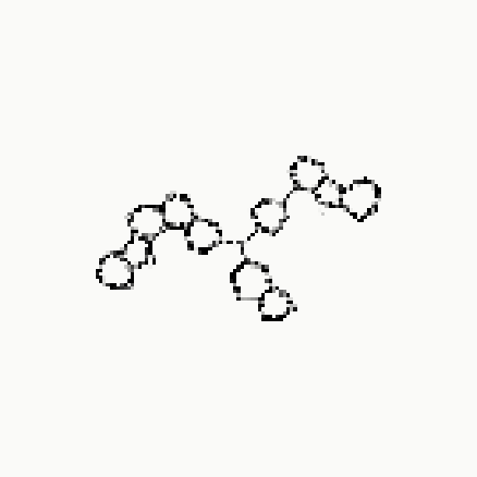 c1ccc2cc(N(c3ccc(-c4cccc5c4oc4ccccc45)cc3)c3ccc4c(ccc5ccc6c7ccccc7oc6c54)c3)ccc2c1